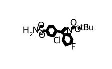 CC(C)(C)OC(=O)n1cc(-c2ccc(S(N)(=O)=O)cc2Cl)c2ccc(F)cc21